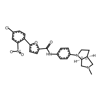 CN1C[C@@H]2CCN(c3ccc(NC(=O)c4ccc(-c5ccc(Cl)cc5[N+](=O)[O-])o4)cc3)[C@@H]2C1